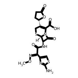 CO/N=C(/C(=O)N[C@@H]1C(=O)N2C(C(=O)O)=C([C@@H]3CCC(=O)O3)CS[C@H]12)c1csc(N)n1